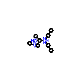 c1ccc(-c2ccc(-c3nc(-c4ccc(-c5ccccc5)cc4)nc(-c4ccc5c(c4)c4ccccc4n5-c4nc5ccccc5c5nc6ccccc6n45)n3)cc2)cc1